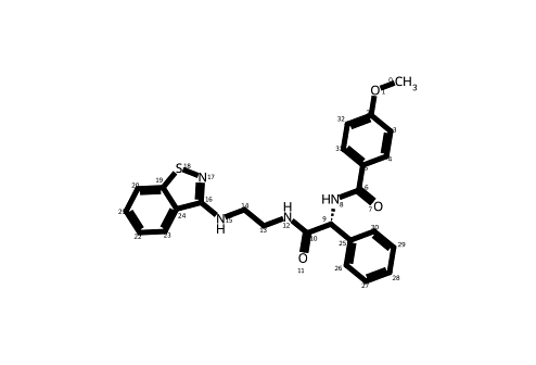 COc1ccc(C(=O)N[C@@H](C(=O)NCCNc2nsc3ccccc23)c2ccccc2)cc1